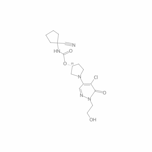 N#CC1(NC(=O)O[C@@H]2CCN(c3cnn(CCO)c(=O)c3Cl)C2)CCCC1